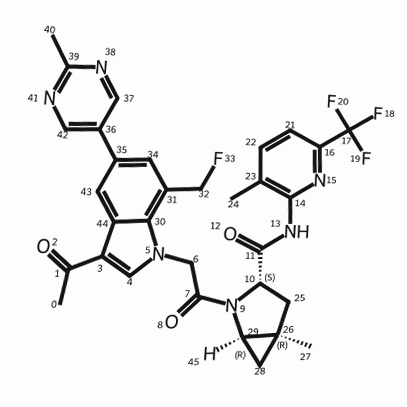 CC(=O)c1cn(CC(=O)N2[C@H](C(=O)Nc3nc(C(F)(F)F)ccc3C)C[C@@]3(C)C[C@@H]23)c2c(CF)cc(-c3cnc(C)nc3)cc12